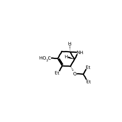 CCC1=C(C(=O)O)C[C@H]2N[C@@H]2[C@@H]1OC(CC)CC